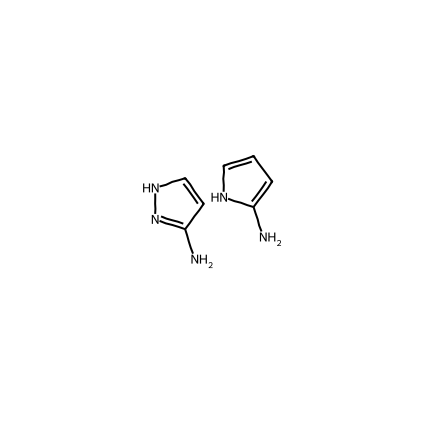 Nc1cc[nH]n1.Nc1ccc[nH]1